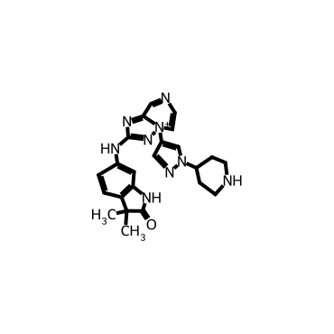 CC1(C)C(=O)Nc2cc(NC3=N[N+]4(c5cnn(C6CCNCC6)c5)C=CN=CC4=N3)ccc21